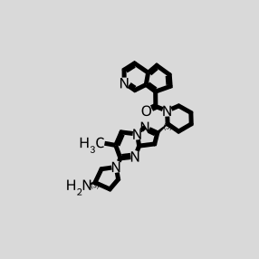 CC1=CN2N=C([C@@H]3CCCCN3C(=O)c3cccc4ccncc34)CC2N=C1N1CC[C@H](N)C1